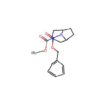 CC(C)(C)OC(=O)N1CC2CCC(C1)N2C(=O)OCc1ccccc1